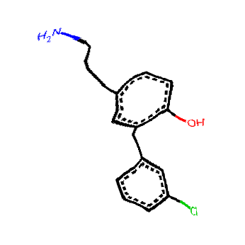 NCCc1ccc(O)c(-c2cccc(Cl)c2)c1